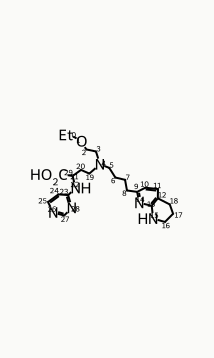 CCOCCN(CCCCc1ccc2c(n1)NCCC2)CCC(Nc1ccncn1)C(=O)O